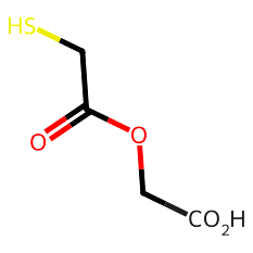 O=C(O)COC(=O)CS